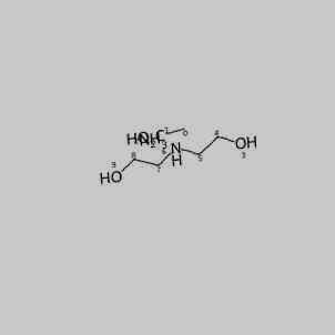 CC(=O)O.N.OCCNCCO